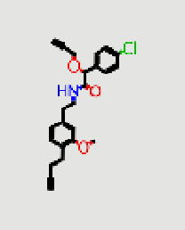 C#CCCc1ccc(CCNC(=O)C(OCC#C)c2ccc(Cl)cc2)cc1OC